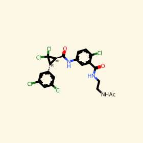 CC(=O)NCCNC(=O)c1cc(NC(=O)[C@H]2[C@H](c3cc(Cl)cc(Cl)c3)C2(Cl)Cl)ccc1Cl